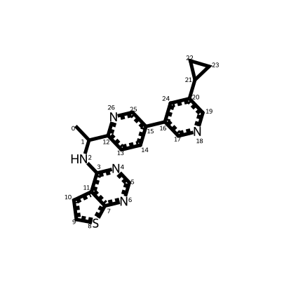 CC(Nc1ncnc2sccc12)c1ccc(-c2cncc(C3CC3)c2)cn1